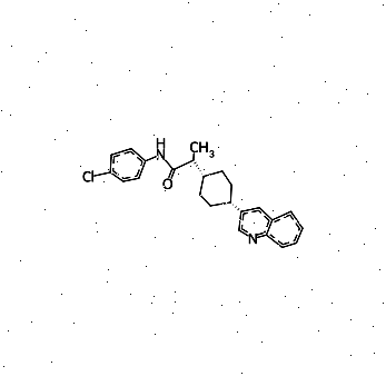 CC(C(=O)Nc1ccc(Cl)cc1)[C@H]1CC[C@@H](c2cnc3ccccc3c2)CC1